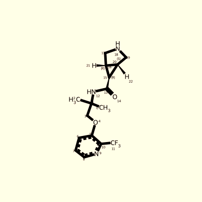 CC(C)(COc1cccnc1C(F)(F)F)NC(=O)[C@H]1[C@@H]2CNC[C@@H]21